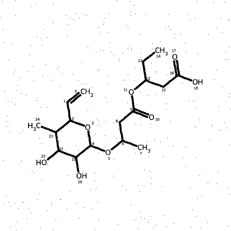 C=CC1OC(OC(C)CC(=O)OC(CC)CC(=O)O)C(O)C(O)C1C